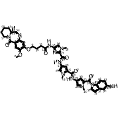 COc1cc2c(cc1OCCCC(=O)Nc1cn(C)c(C(=O)Nc3cc(C(=O)Nc4cc(C(=O)n5ccc6cc(N)ccc65)n(C)c4)n(C)c3)n1)N=C[C@@H]1CCCCN1C2=O